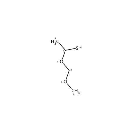 COCOC(C)[S]